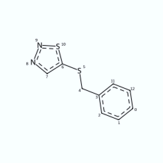 c1ccc(CSc2cnns2)cc1